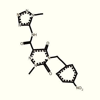 Cn1nnnc1NC(=O)c1nn(C)c(=O)n(Cc2ccc([N+](=O)[O-])cc2)c1=O